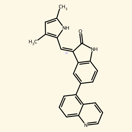 Cc1cc(C)c(/C=C2\C(=O)Nc3ccc(-c4cccc5ncccc45)cc32)[nH]1